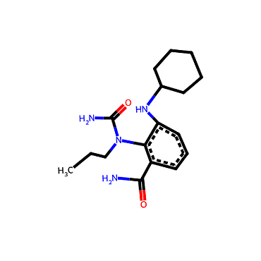 CCCN(C(N)=O)c1c(NC2CCCCC2)cccc1C(N)=O